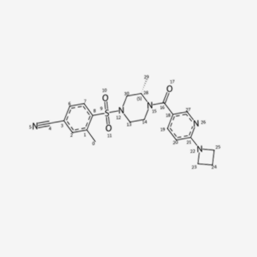 Cc1cc(C#N)ccc1S(=O)(=O)N1CCN(C(=O)c2ccc(N3CCC3)nc2)[C@@H](C)C1